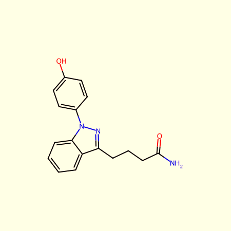 NC(=O)CCCc1nn(-c2ccc(O)cc2)c2ccccc12